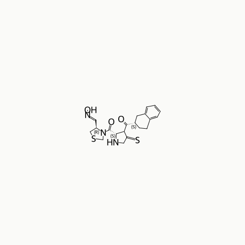 O=C(C1C(=S)CN[C@@H]1C(=O)N1CSC[C@H]1C=NO)[C@H]1CCc2ccccc2C1